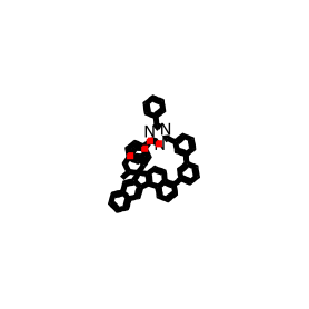 CCC1CC2CC(C)C3(c4cc5ccccc5cc4-c4c3ccc3c(-c5cccc(-c6cccc(-c7nc(-c8ccccc8)nc(-c8ccccc8)n7)c6)c5)cccc43)C(C1)C2